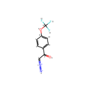 [N-]=[N+]=CC(=O)c1ccc(OC(F)(F)F)cc1